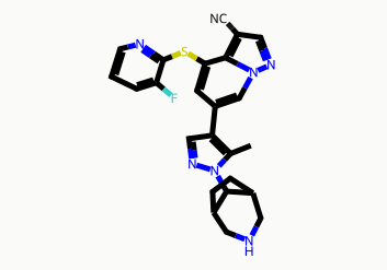 Cc1c(-c2cc(Sc3ncccc3F)c3c(C#N)cnn3c2)cnn1C1C2CCC1CNC2